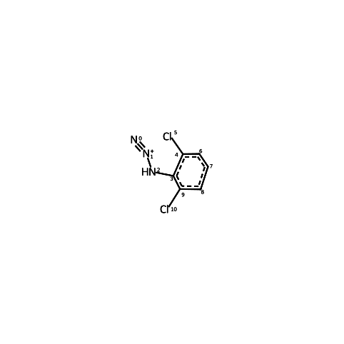 N#[N+]Nc1c(Cl)cccc1Cl